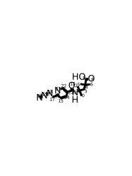 CC(C)(CC(C)(C)C(=O)O)NC(=O)c1ccc(CN=[N+]=[N-])nc1